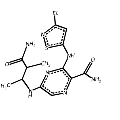 CCc1cc(Nc2nc(NC(C)C(C)C(N)=O)cnc2C(N)=O)sn1